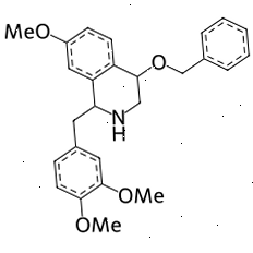 COc1ccc2c(c1)C(Cc1ccc(OC)c(OC)c1)NCC2OCc1ccccc1